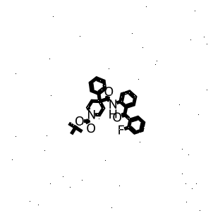 CC(C)(C)OC(=O)N1CCC(C(=O)Nc2ccccc2C(=O)c2ccccc2F)(c2ccccc2)CC1